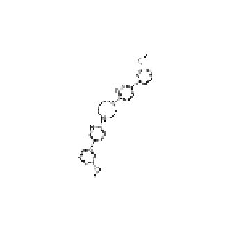 COc1cccc(-c2ccc(N3CCCN(c4ccc(-c5cccc(OC)c5)cn4)CC3)nc2)c1